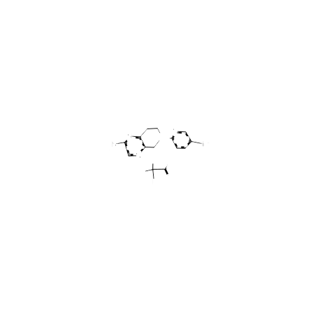 CC(C)c1ccc([SH]2CCc3nc(N)cnc3C2)nc1.O=C(O)C(F)(F)F